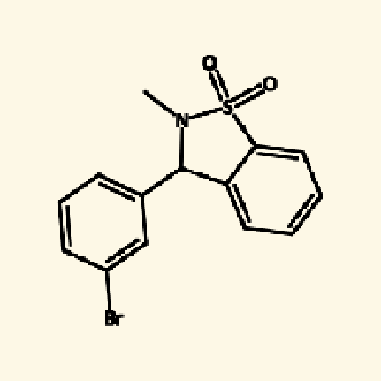 CN1C(c2cccc(Br)c2)c2ccccc2S1(=O)=O